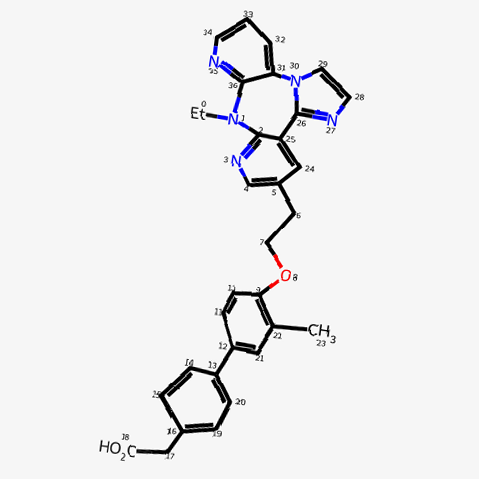 CCN1c2ncc(CCOc3ccc(-c4ccc(CC(=O)O)cc4)cc3C)cc2-c2nccn2-c2cccnc21